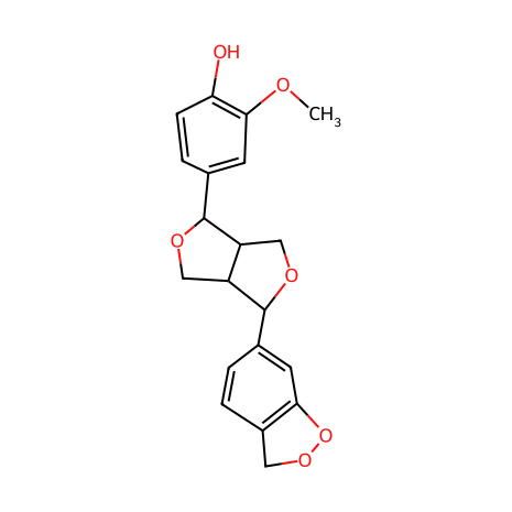 COc1cc(C2OCC3C(c4ccc5c(c4)OOC5)OCC23)ccc1O